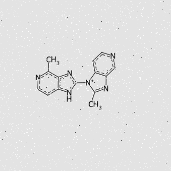 CC1=Nc2cnccc2[N+]1c1nc2c(C)nccc2[nH]1